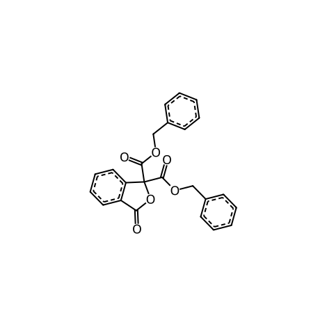 O=C1OC(C(=O)OCc2ccccc2)(C(=O)OCc2ccccc2)c2ccccc21